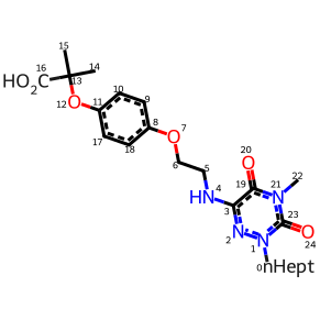 CCCCCCCn1nc(NCCOc2ccc(OC(C)(C)C(=O)O)cc2)c(=O)n(C)c1=O